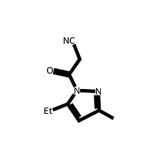 CCc1cc(C)nn1C(=O)CC#N